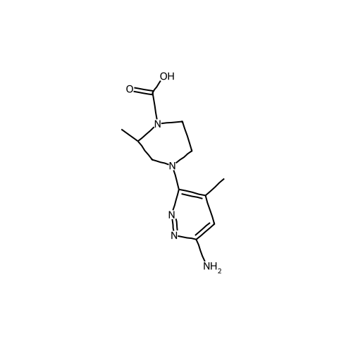 Cc1cc(N)nnc1N1CCN(C(=O)O)C(C)C1